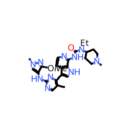 CCN(C(=O)Nc1nccc2c(-c3nc(Nc4cn(C)nc4OC)ncc3C)c[nH]c12)C1CCN(C)CC1